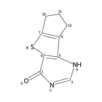 O=c1nc[nH]c2c3c(sc12)CCC3